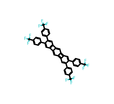 FC(F)(F)c1ccc(-c2cc3c(cc2-c2ccc(C(F)(F)F)cc2)c2cc4c5cc(-c6ccc(C(F)(F)F)cc6)c(-c6ccc(C(F)(F)F)cc6)cc5c4cc32)cc1